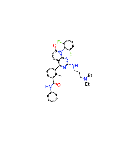 CCN(CC)CCCNc1nc(-c2cccc(C(=O)Nc3ccccc3)c2C)c2ccc(=O)n(-c3c(F)cccc3F)c2n1